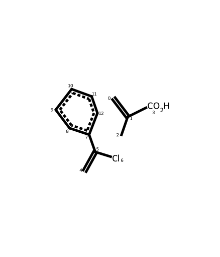 C=C(C)C(=O)O.C=C(Cl)c1ccccc1